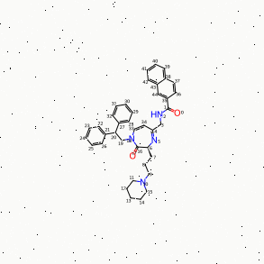 O=C(NCC1=N[C@@H](CCCN2CCCCC2)C(=O)N(CC(c2ccccc2)c2ccccc2)C=C1)c1ccc2ccccc2c1